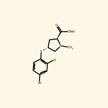 COC(=O)[C@@H]1C[C@@H](Sc2ccc(Br)cc2Cl)CN1C